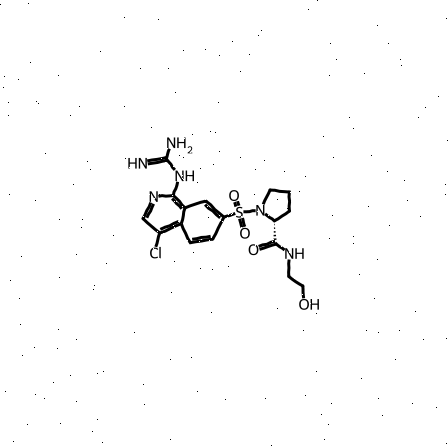 N=C(N)Nc1ncc(Cl)c2ccc(S(=O)(=O)N3CCC[C@@H]3C(=O)NCCO)cc12